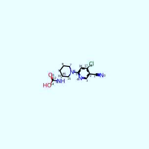 N#Cc1cnc(N2CCC[C@@H](NC(=O)O)C2)cc1Cl